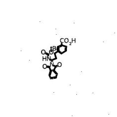 CC(C)(C)OC(=O)NC(CCc1cccc(C(=O)O)c1)N1C(=O)c2ccccc2C1=O